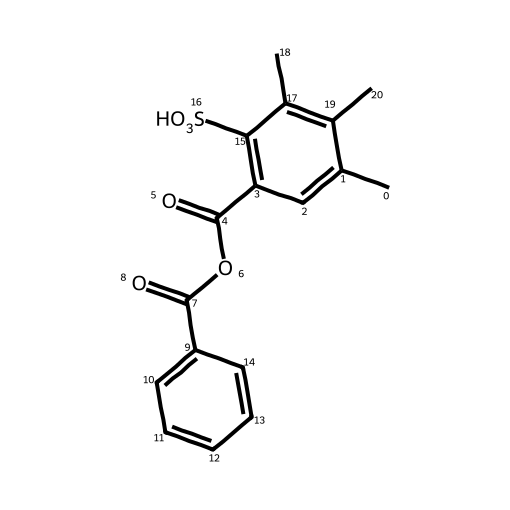 Cc1cc(C(=O)OC(=O)c2ccccc2)c(S(=O)(=O)O)c(C)c1C